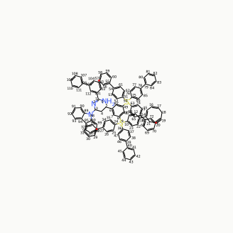 N/C(=N\C(CCc1cc(S(c2ccc(/C3=C/C=C\CC#CC3)cc2)(c2ccc(-c3ccccc3)cc2)c2ccc(-c3ccccc3)cc2)cc(S(c2ccc(-c3ccccc3)cc2)(c2ccc(-c3ccccc3)cc2)c2ccc(-c3ccccc3)cc2)c1)n1c2ccccc2c2ccccc21)c1cccc(-c2ccccc2)c1